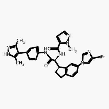 Cc1n[nH]c(C)c1-c1ccc(NC(=O)[C@@H](NC(=O)c2ccnn2C)[C@@H]2CCc3ccc(-n4cnc(C(C)C)c4)cc32)cc1